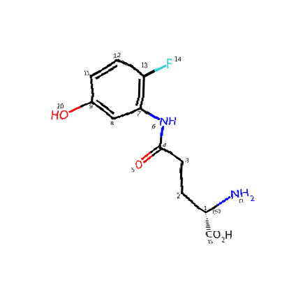 N[C@@H](CCC(=O)Nc1cc(O)ccc1F)C(=O)O